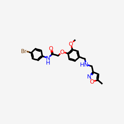 COc1cc(CNCc2cc(C)on2)ccc1OCC(=O)Nc1ccc(Br)cc1